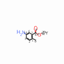 Cc1ccc(N)cc1C(=O)OC(C)C